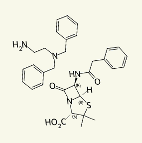 CC1(C)S[C@@H]2[C@H](NC(=O)Cc3ccccc3)C(=O)N2[C@H]1C(=O)O.NCCN(Cc1ccccc1)Cc1ccccc1